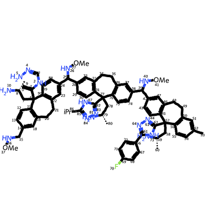 C=C(N/C=N\N)C1(C[C@@H](C)N)c2ccc(CNOC)cc2CCc2cc(C(NOC)c3ccc4c(c3)CCc3cc(C(NOC)c5ccc6c(c5)CCc5cc(C)ccc5C6(C[C@H](C)N)c5nnc(-c6ccc(F)cc6)[nH]5)ccc3C4(C[C@H](C)N)c3nnc(C(C)C)[nH]3)ccc21